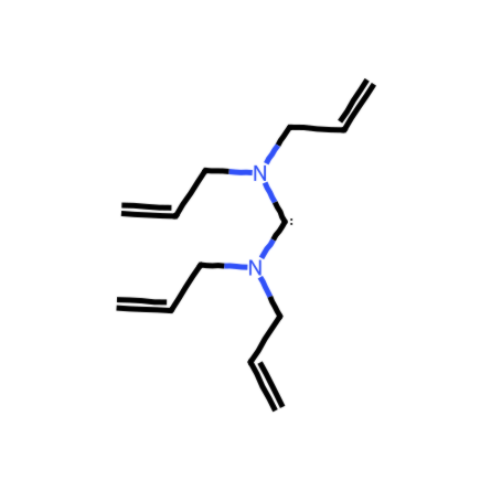 C=CCN([C]N(CC=C)CC=C)CC=C